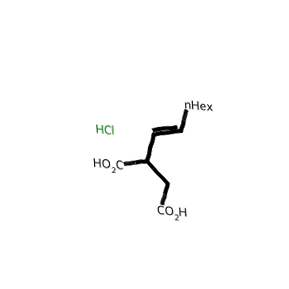 CCCCCCC=CC(CC(=O)O)C(=O)O.Cl